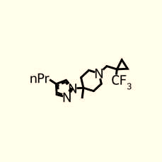 CCCc1cnn(C2(C)CCN(CC3(C(F)(F)F)CC3)CC2)c1